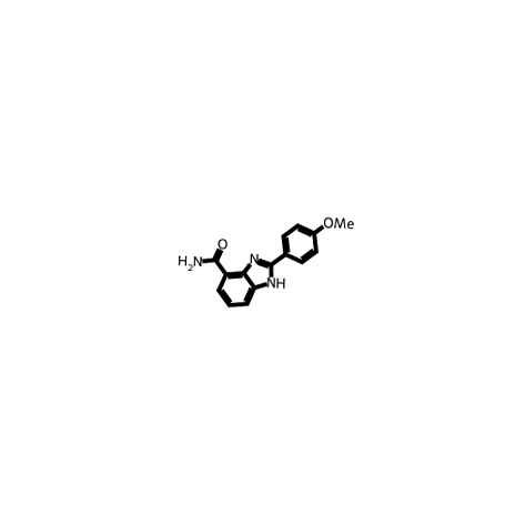 COc1ccc(-c2nc3c(C(N)=O)cccc3[nH]2)cc1